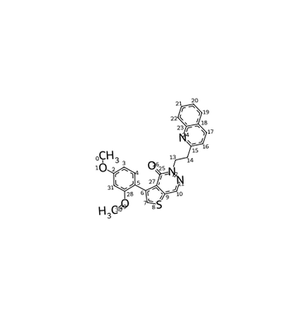 COc1ccc(-c2csc3cnn(CCc4ccc5ccccc5n4)c(=O)c23)c(OC)c1